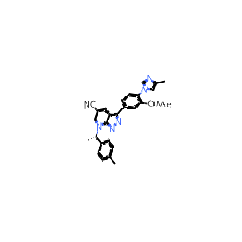 COc1cc(-c2nnc3n([C@@H](C)c4ccc(C)cc4)cc(C#N)cc2-3)ccc1-n1cnc(C)c1